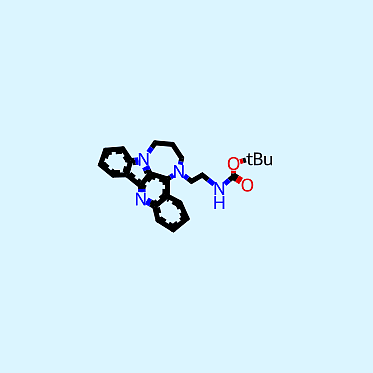 CC(C)(C)OC(=O)NCCN1CCCn2c3ccccc3c3nc4ccccc4c1c32